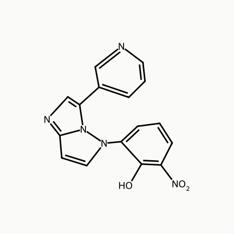 O=[N+]([O-])c1cccc(-n2ccc3ncc(-c4cccnc4)n32)c1O